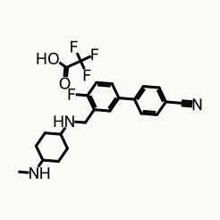 CNC1CCC(NCc2cc(-c3ccc(C#N)cc3)ccc2F)CC1.O=C(O)C(F)(F)F